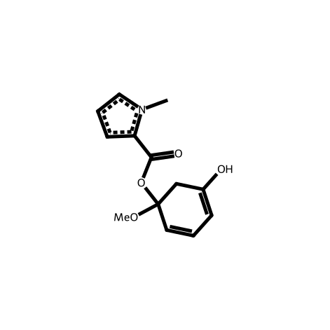 COC1(OC(=O)c2cccn2C)C=CC=C(O)C1